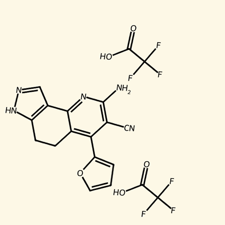 N#Cc1c(N)nc2c(c1-c1ccco1)CCc1[nH]ncc1-2.O=C(O)C(F)(F)F.O=C(O)C(F)(F)F